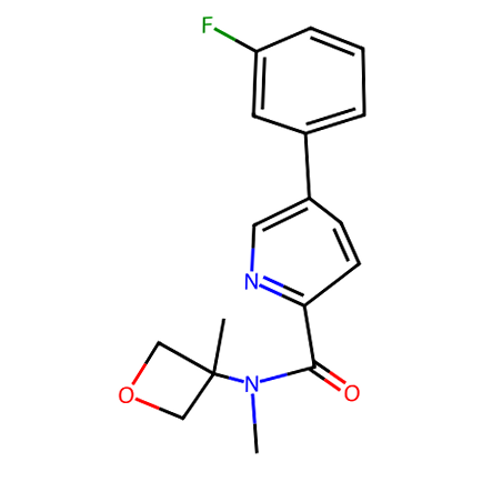 CN(C(=O)c1ccc(-c2cccc(F)c2)cn1)C1(C)COC1